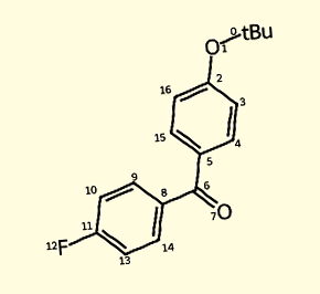 CC(C)(C)Oc1ccc(C(=O)c2ccc(F)cc2)cc1